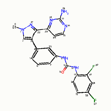 CCn1cc(-c2cccc(NC(=O)Nc3ccc(F)cc3F)c2)c(-c2ccnc(N)n2)n1